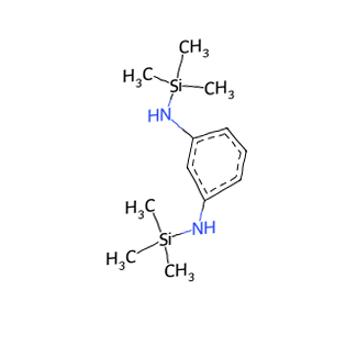 C[Si](C)(C)Nc1cccc(N[Si](C)(C)C)c1